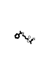 C/C(=N/CCCC(=O)OC(C)C#N)c1ccccc1